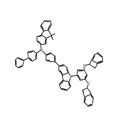 CC1(C)c2ccccc2-c2ccc(N(c3ccc(-c4ccccc4)cc3)c3ccc(-c4ccc5c(c4)c4ccccc4n5-c4cc(OC5Cc6ccccc65)cc(OC5Cc6ccccc65)c4)cc3)cc21